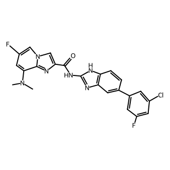 CN(C)c1cc(F)cn2cc(C(=O)Nc3nc4cc(-c5cc(F)cc(Cl)c5)ccc4[nH]3)nc12